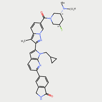 Cc1c(-c2cc3ccc(-c4ccc5c(c4)CNC5=O)nc3n2CC2CC2)nn2cc(C(=O)N3C[C@H](F)C[C@@H](N(C(=O)O)C(C)(C)C)C3)ccc12